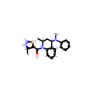 CC(=O)N(c1ccccc1)C1CC(C)N(C(=O)c2snnc2C)c2ccccc21